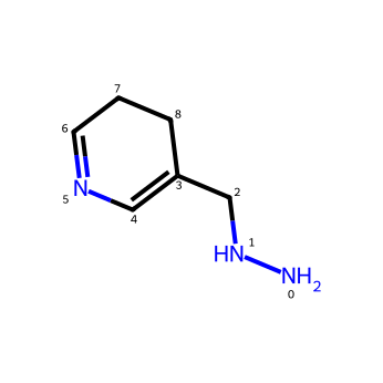 NNCC1=CN=CCC1